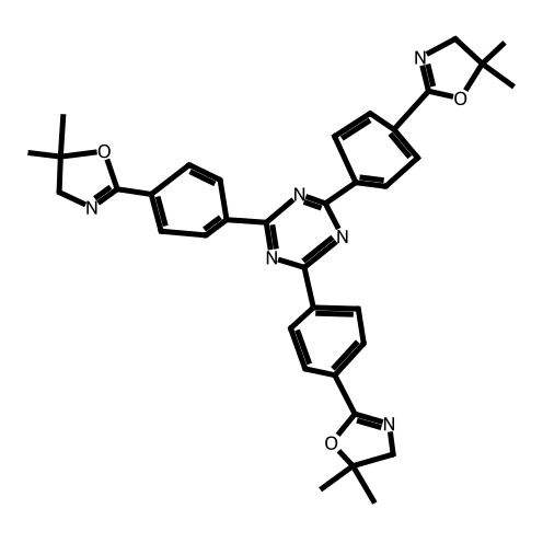 CC1(C)CN=C(c2ccc(-c3nc(-c4ccc(C5=NCC(C)(C)O5)cc4)nc(-c4ccc(C5=NCC(C)(C)O5)cc4)n3)cc2)O1